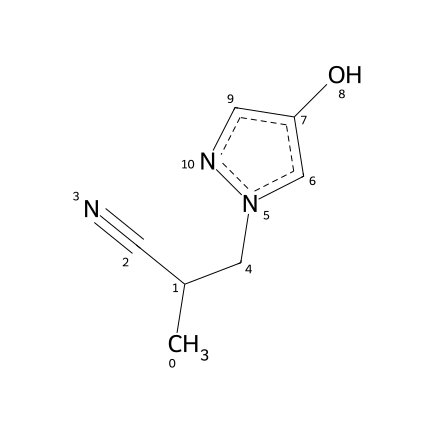 CC(C#N)Cn1cc(O)cn1